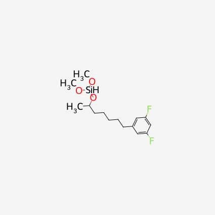 CO[SiH](OC)OC(C)CCCCCc1cc(F)cc(F)c1